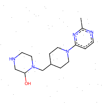 Cc1nccc(N2CCC(CN3CCNCC3O)CC2)n1